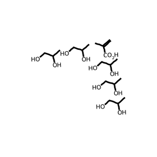 C=C(C)C(=O)O.CC(O)CO.CC(O)CO.CC(O)CO.CC(O)CO.CC(O)CO